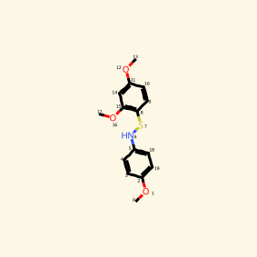 COc1ccc(NSc2ccc(OC)cc2OC)cc1